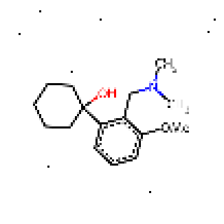 COc1cccc(C2(O)CCCCC2)c1CN(C)C